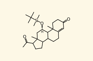 CC(=O)C1CCC2C3CCC4=CC(=O)CCC4(C)C3[C@H](O[Si](C)(C)C(C)(C)C)CC12C